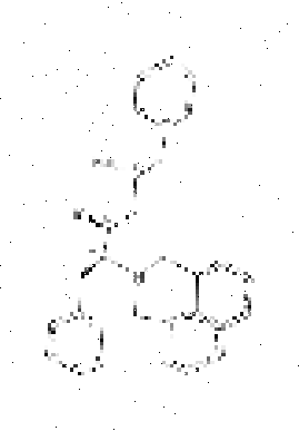 N[C@H](Cc1ccccc1)C[C@H](O)[C@H](Cc1ccccc1)N(Cc1ccccc1)Cc1ccccc1